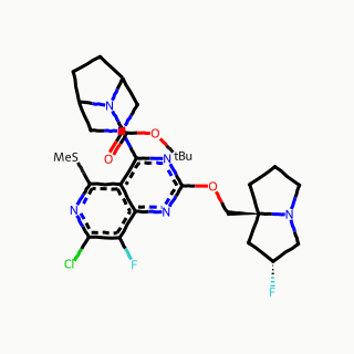 CSc1nc(Cl)c(F)c2nc(OC[C@@]34CCCN3C[C@H](F)C4)nc(N3CC4CCC(C3)N4C(=O)OC(C)(C)C)c12